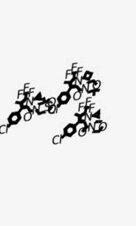 Cc1c(-c2ccc(Cl)cc2)c(C(=O)N2CCOC(C)(C)C2)n(C2CCC2)c1C(F)(F)F.Cc1c(-c2ccc(Cl)cc2)c(C(=O)N2CCOCC2)n(C2CC2)c1C(F)(F)F.Cc1c(-c2ccc(Cl)cc2)c(C(=O)N2CCS(=O)(=O)C(C)(C)C2)n(C2CC2)c1C(F)(F)F